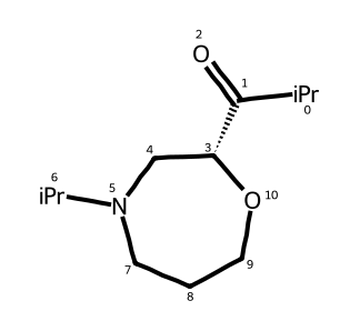 CC(C)C(=O)[C@H]1CN(C(C)C)CCCO1